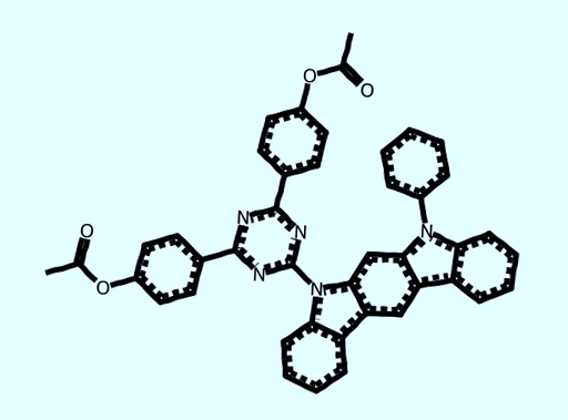 CC(=O)Oc1ccc(-c2nc(-c3ccc(OC(C)=O)cc3)nc(-n3c4ccccc4c4cc5c6ccccc6n(-c6ccccc6)c5cc43)n2)cc1